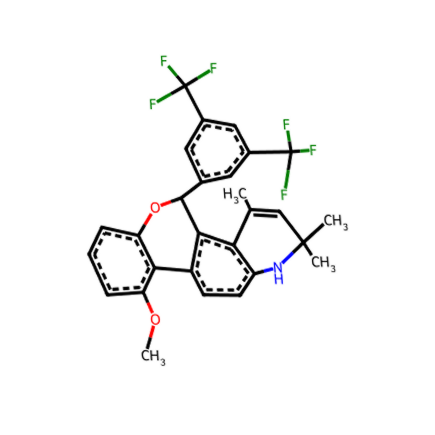 COc1cccc2c1-c1ccc3c(c1C(c1cc(C(F)(F)F)cc(C(F)(F)F)c1)O2)C(C)=CC(C)(C)N3